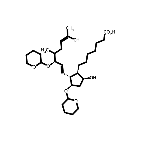 CC(C)=CCC(C)[C@@H](/C=C/[C@@H]1[C@@H](CCCCCCC(=O)O)[C@@H](O)C[C@H]1OC1CCCCO1)OC1CCCCO1